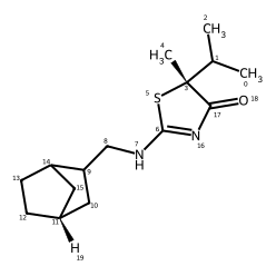 CC(C)[C@@]1(C)SC(NCC2C[C@@H]3CCC2C3)=NC1=O